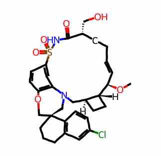 CO[C@@H]1/C=C/CC[C@@H](CO)C(=O)NS(=O)(=O)c2ccc3c(c2)N(C[C@@H]2CC[C@H]21)C[C@@]1(CCCc2cc(Cl)ccc21)CO3